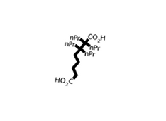 CCCC(CCC)(CCCCC(=O)O)C(CCC)(CCC)C(=O)O